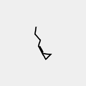 [CH2]CCC=C1CC1